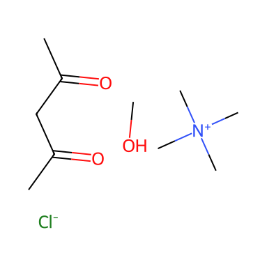 CC(=O)CC(C)=O.CO.C[N+](C)(C)C.[Cl-]